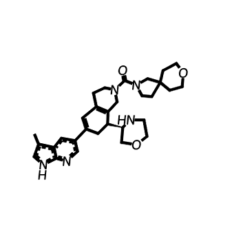 Cc1c[nH]c2ncc(C3=CC4=C(CN(C(=O)N5CCC6(CCOCC6)C5)CC4)C([C@@H]4COCCN4)C3)cc12